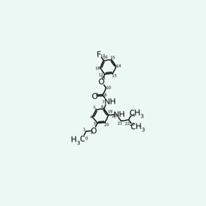 CCOc1ccc(NC(=O)COc2cccc(F)c2)c(NCC(C)C)c1